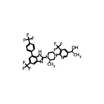 C[C@H](O)c1cnc(N2CCN(c3nc4cc(C(F)(F)F)cc(-c5ccc(C(F)(F)F)cc5)c4[nH]3)[C@H](C)C2)c(C(F)(F)F)c1